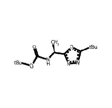 C[C@H](NC(=O)OC(C)(C)C)c1nnc(C(C)(C)C)o1